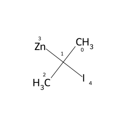 C[C](C)([Zn])I